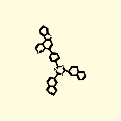 C1=CC2c3c(oc4ccccc34)C=C(c3ccc(-c4nc(-c5ccc6ccccc6c5)nc(-c5ccc6ccccc6c5)n4)cc3)C2C=N1